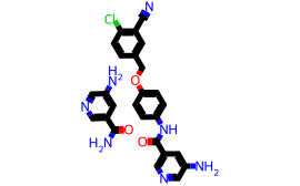 N#Cc1cc(COc2ccc(NC(=O)c3cncc(N)c3)cc2)ccc1Cl.NC(=O)c1cncc(N)c1